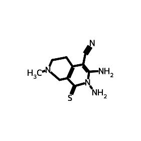 CN1CCc2c(C#N)c(N)n(N)c(=S)c2C1